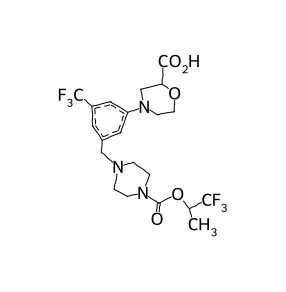 CC(OC(=O)N1CCN(Cc2cc(N3CCOC(C(=O)O)C3)cc(C(F)(F)F)c2)CC1)C(F)(F)F